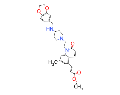 CCOC(=O)/C=C/c1cc(C)cc2c1ccc(=O)n2CCN1CCC(NCc2ccc3c(c2)OCCO3)CC1